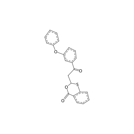 O=C(CC1OC(=O)c2ccccc2S1)c1cccc(Oc2ccccc2)c1